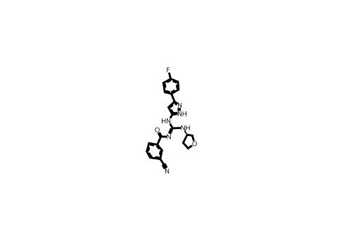 N#Cc1cccc(C(=O)/N=C(\Nc2cc(-c3ccc(F)cc3)n[nH]2)N[C@@H]2CCOC2)c1